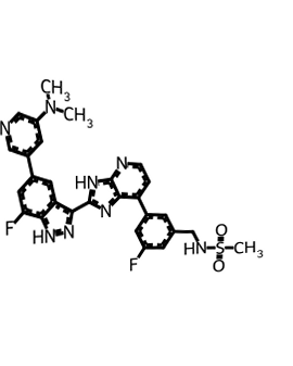 CN(C)c1cncc(-c2cc(F)c3[nH]nc(-c4nc5c(-c6cc(F)cc(CNS(C)(=O)=O)c6)ccnc5[nH]4)c3c2)c1